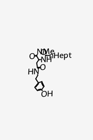 CCCCCCCC(=O)NC(CC(=O)NCCc1ccc(O)cc1)C(=O)NC